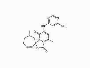 Cc1cc(Nc2cc(N)ncn2)c(=O)n2c1C(=O)NC21C=CCCC(C)C1